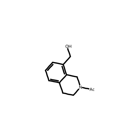 CC(=O)N1CCc2cccc(CO)c2C1